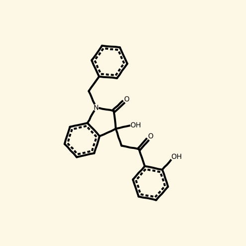 O=C(CC1(O)C(=O)N(Cc2ccccc2)c2ccccc21)c1ccccc1O